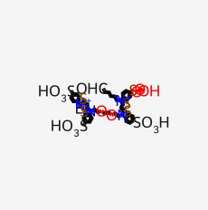 CC[n+]1c(C=C2Sc3cc(S(=O)(=O)O)ccc3N2CCOCCOCCN2C(=Cc3sc4cc(SOOO)ccc4[n+]3CCCCCC=O)Sc3cc(S(=O)(=O)O)ccc32)sc2cc(S(=O)(=O)O)ccc21